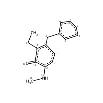 CCn1c(Cc2ccccc2)ccc(NC)c1=O